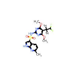 [2H]C([2H])(c1c(OC)nc(NS(=O)(=O)c2c[nH]c3nc(C)ccc23)nc1OC)C(F)F